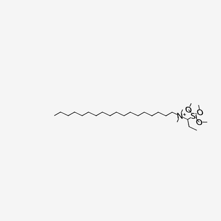 CCCCCCCCCCCCCCCCCC[N+](C)(C)C(CC)[Si](OC)(OC)OC